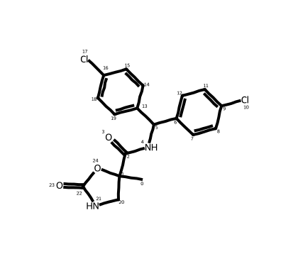 CC1(C(=O)NC(c2ccc(Cl)cc2)c2ccc(Cl)cc2)CNC(=O)O1